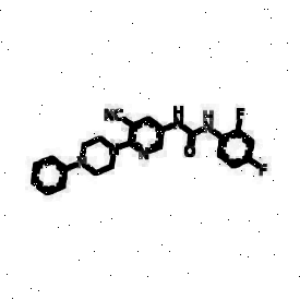 N#Cc1cc(NC(=O)Nc2ccc(F)cc2F)cnc1N1CCN(c2ccccc2)CC1